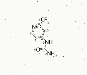 NC(=O)Nc1ccnc(C(F)(F)F)c1